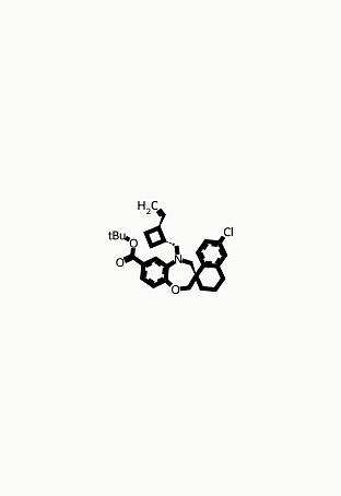 C=C[C@@H]1CC[C@H]1CN1C[C@@]2(CCCc3cc(Cl)ccc32)COc2ccc(C(=O)OC(C)(C)C)cc21